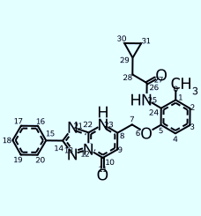 Cc1cccc(OCc2cc(=O)n3nc(-c4ccccc4)nc3[nH]2)c1NC(=O)CC1CC1